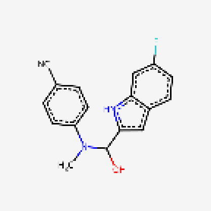 CN(c1ccc(C#N)cc1)C(O)c1cc2ccc(F)cc2[nH]1